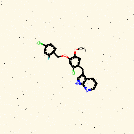 COc1cc(Cc2c[nH]c3ncccc23)c(Cl)cc1OCc1ccc(Cl)cc1F